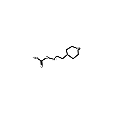 CC(C)(C)C(=O)ONCCC1CCNCC1